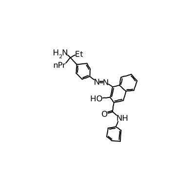 CCCC(N)(CC)c1ccc(N=Nc2c(O)c(C(=O)Nc3ccccc3)cc3ccccc23)cc1